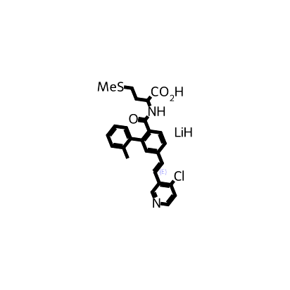 CSCCC(NC(=O)c1ccc(/C=C/c2cnccc2Cl)cc1-c1ccccc1C)C(=O)O.[LiH]